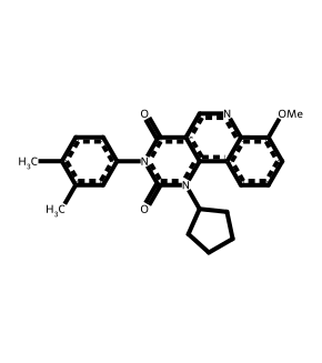 COc1cccc2c1ncc1c(=O)n(-c3ccc(C)c(C)c3)c(=O)n(C3CCCC3)c12